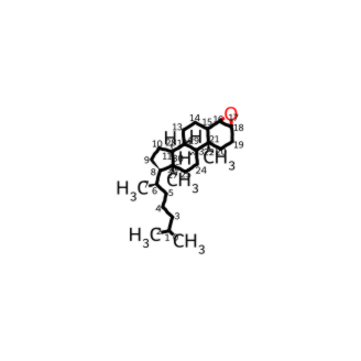 CC(C)CCC[C@@H](C)[C@H]1CC[C@H]2[C@@H]3CCC4C5OC5CC[C@]4(C)[C@H]3CC[C@]12C